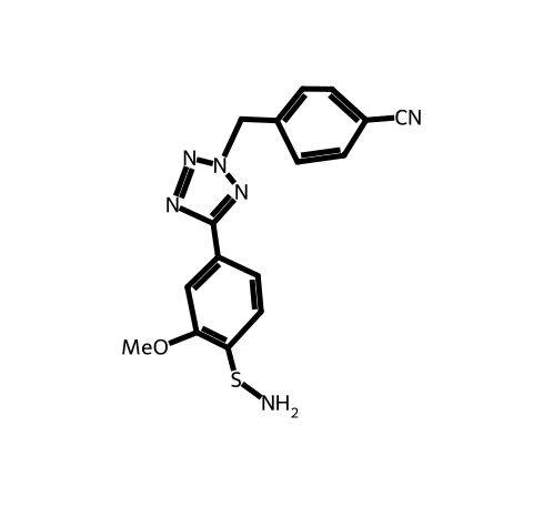 COc1cc(-c2nnn(Cc3ccc(C#N)cc3)n2)ccc1SN